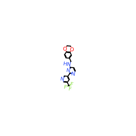 FC(F)(F)c1cncc(-c2nccc(NCc3ccc4c(c3)OCCO4)n2)c1